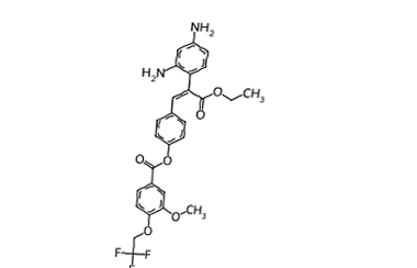 CCOC(=O)C(=Cc1ccc(OC(=O)c2ccc(OCC(F)(F)F)c(OC)c2)cc1)c1ccc(N)cc1N